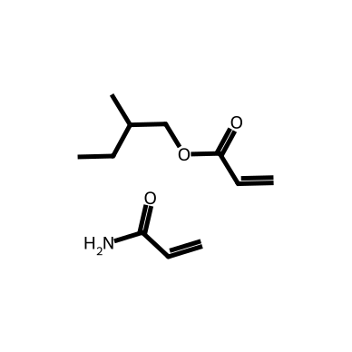 C=CC(=O)OCC(C)CC.C=CC(N)=O